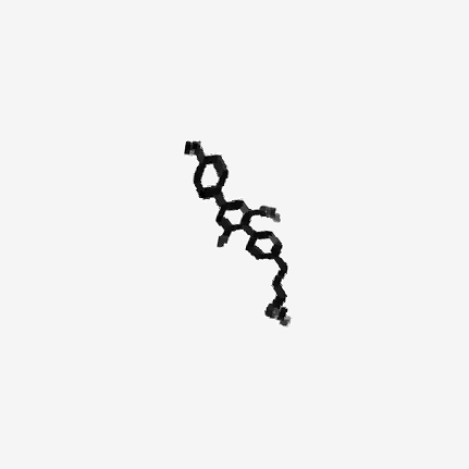 C=CCCc1ccc(-c2c(C)cc(-c3ccc(S)cc3)cc2F)cc1